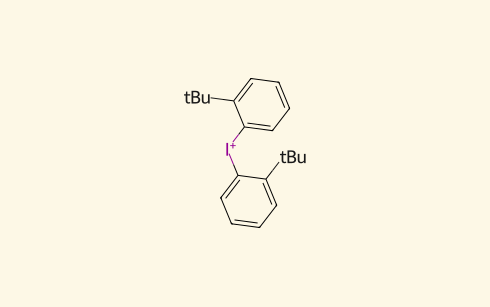 CC(C)(C)c1ccccc1[I+]c1ccccc1C(C)(C)C